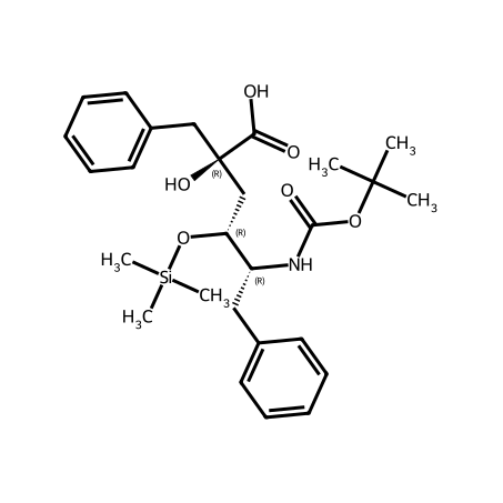 CC(C)(C)OC(=O)N[C@H](Cc1ccccc1)[C@@H](C[C@](O)(Cc1ccccc1)C(=O)O)O[Si](C)(C)C